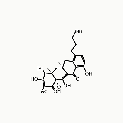 CCC(C)CCCc1ccc(O)c2c1C[C@]1(C)C[C@]3(C)C(C(C)C)C(O)=C(C(C)=O)C(=O)[C@]3(O)C(O)=C1C2=O